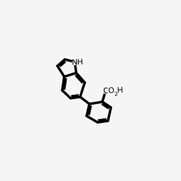 O=C(O)c1ccccc1-c1ccc2cc[nH]c2c1